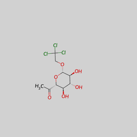 CC(=O)[C@@H]1O[C@H](OCC(Cl)(Cl)Cl)[C@@H](O)[C@H](O)[C@H]1O